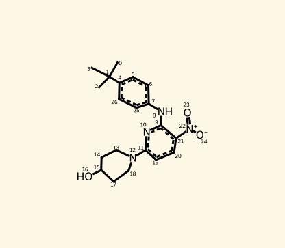 CC(C)(C)c1ccc(Nc2nc(N3CCC(O)CC3)ccc2[N+](=O)[O-])cc1